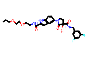 CCCOCCOCCNC(=O)c1cc2cc(N3CCC(O)(C(=O)NCc4cc(F)cc(F)c4)C3=O)ccc2[nH]1